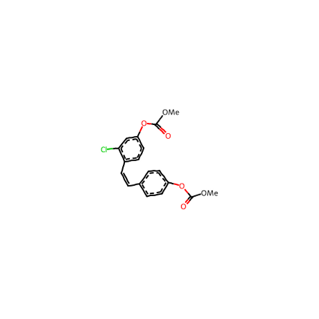 COC(=O)Oc1ccc(/C=C\c2ccc(OC(=O)OC)cc2Cl)cc1